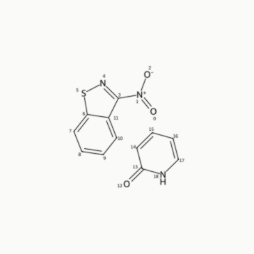 O=[N+]([O-])c1nsc2ccccc12.O=c1cccc[nH]1